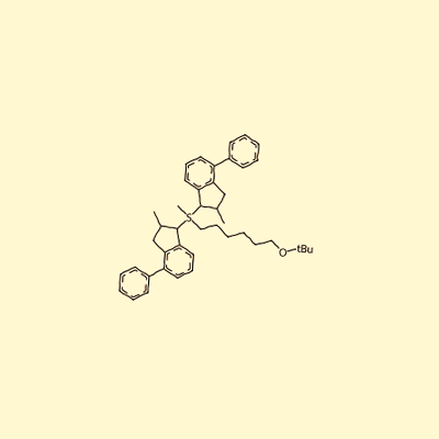 CC1Cc2c(-c3ccccc3)cccc2C1S(C)(CCCCCCOC(C)(C)C)C1c2cccc(-c3ccccc3)c2CC1C